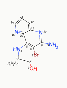 CCC[C@@H](CO)Nc1c(Br)c(N)nc2cccnc12